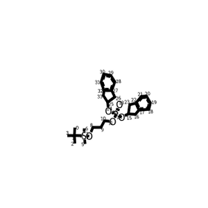 CC(C)(C)[Si](C)(C)OCCCOP(=O)(OC1Cc2ccccc2C1)OC1Cc2ccccc2C1